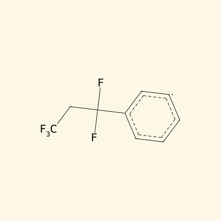 FC(F)(F)CC(F)(F)c1c[c]ccc1